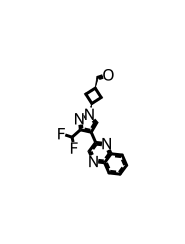 O=C[C@H]1C[C@H](n2cc(-c3cnc4ccccc4n3)c(C(F)F)n2)C1